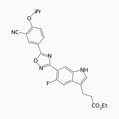 CCOC(=O)CCc1c[nH]c2cc(-c3noc(-c4ccc(OC(C)C)c(C#N)c4)n3)c(F)cc12